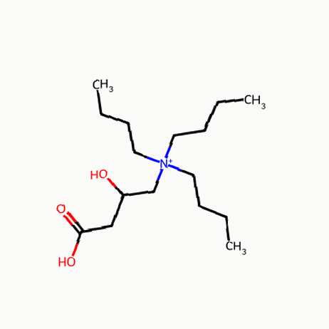 CCCC[N+](CCCC)(CCCC)CC(O)CC(=O)O